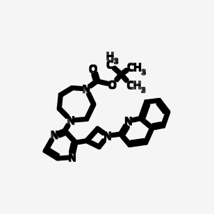 CC(C)(C)OC(=O)N1CCCN(c2nccnc2C2CN(c3ccc4ccccc4n3)C2)CC1